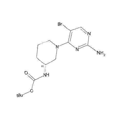 CC(C)(C)OC(=O)N[C@@H]1CCCN(c2nc(N)ncc2Br)C1